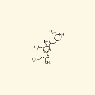 CCC[C@H](C)Oc1nc(N)c2ncc(CC3CCN[C@@H](C)C3)n2n1